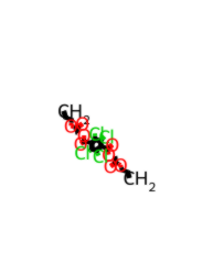 C=CCOC(=O)COC(=O)c1c(Cl)c(Cl)c(C(=O)OCC(=O)OCC=C)c(Cl)c1Cl